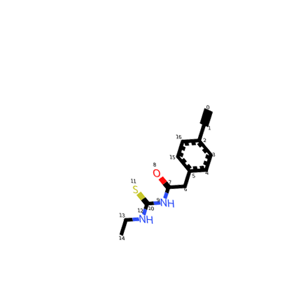 C#Cc1ccc(CC(=O)NC(=S)NCC)cc1